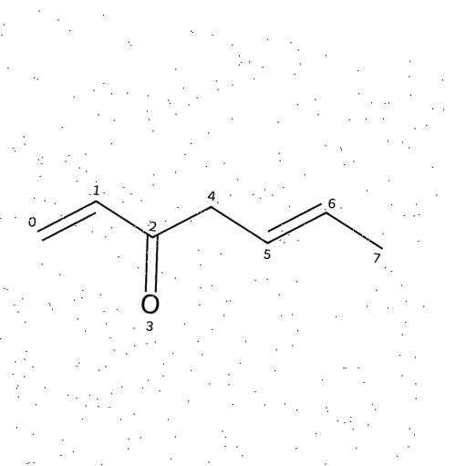 C=CC(=O)CC=CC